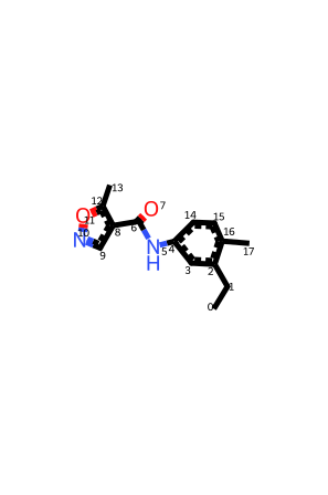 CCc1cc(NC(=O)c2cnoc2C)ccc1C